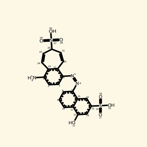 Nc1ccc(/N=N\c2cccc3c(O)cc(S(=O)(=O)O)cc23)c2c1C=CC(S(=O)(=O)O)C=C2